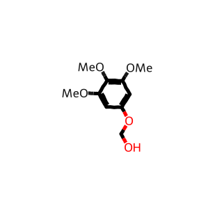 COc1cc(OCO)cc(OC)c1OC